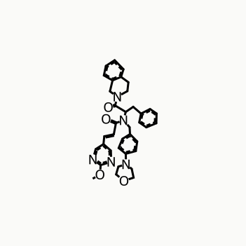 COc1ncc(C=CC(=O)N(Cc2ccc(N3CCOCC3)cc2)C(Cc2ccccc2)C(=O)N2CCc3ccccc3C2)cn1